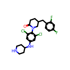 O=C1CCC(Cc2ccc(F)cc2F)CN1c1c(Cl)cc(NC2CCNCC2)cc1Cl